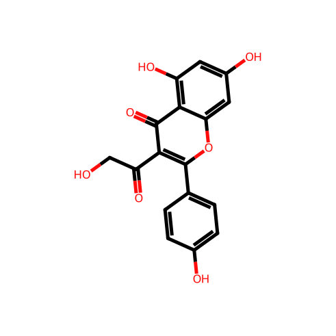 O=C(CO)c1c(-c2ccc(O)cc2)oc2cc(O)cc(O)c2c1=O